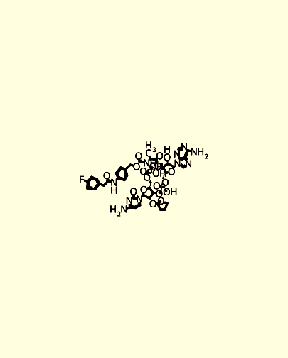 C[C@@H](NC(=O)OCc1ccc(NC(=O)Cc2ccc(F)cc2)cc1)C(=O)O[C@H]1[C@@H](O)[C@H](n2cnc3c(N)ncnc32)O[C@@H]1COP(=O)(O)O[C@H]1[C@@H](OC2CCCO2)[C@H](n2ccc(N)nc2=O)O[C@@H]1COP(=O)(O)O